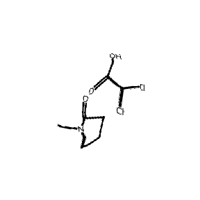 CN1CCCC1=O.O=C(O)C(Cl)Cl